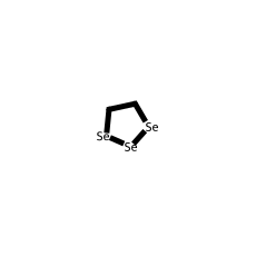 C1C[Se][Se][Se]1